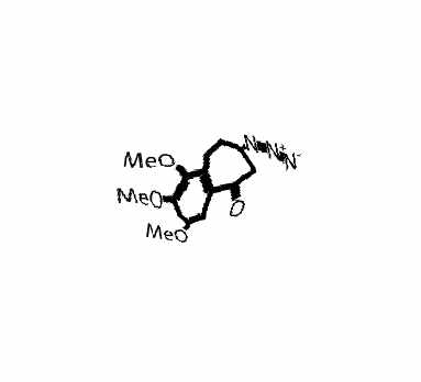 COc1cc2c(c(OC)c1OC)CC[C@@H](N=[N+]=[N-])CC2=O